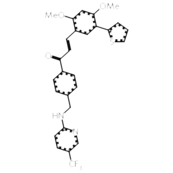 COc1cc(OC)c(-c2cccs2)cc1/C=C/C(=O)c1ccc(CNc2ccc(C(F)(F)F)cn2)cc1